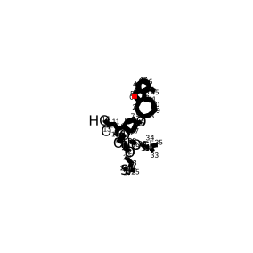 C=C1CC[C@@H](Oc2ccc(C(CC(=O)O)CS(=O)(=O)N(COCC[Si](C)(C)C)COCC[Si](C)(C)C)cc2)C/C=C\C=C/1c1c(C)cccc1C